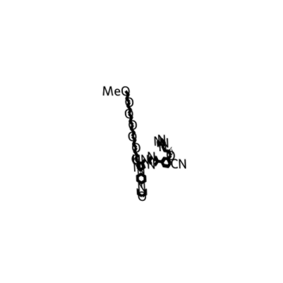 COCCOCCOCCOCCOCCOCCOc1nn([C@H]2CC[C@H](N3CCOCC3)CC2)cc1Nc1ncc(-c2ccc(C#N)c(O[C@@H](C)Cn3cnnn3)c2)cn1